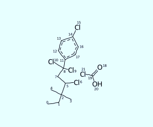 CCC(C)(C)C(Cl)CC(Cl)(Cl)c1ccc(Cl)cc1.O=C(O)Cl